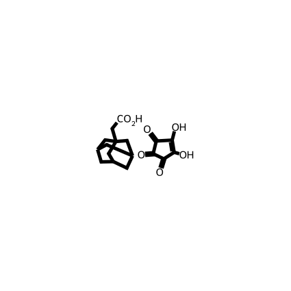 O=C(O)CC12CC3CC(CC(C3)C1)C2.O=c1c(O)c(O)c(=O)c1=O